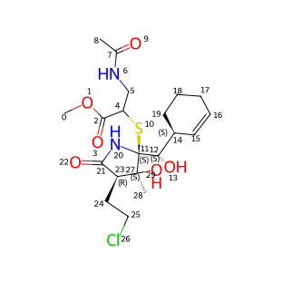 COC(=O)C(CNC(C)=O)S[C@]1([C@@H](O)[C@@H]2C=CCCC2)NC(=O)[C@H](CCCl)[C@]1(C)O